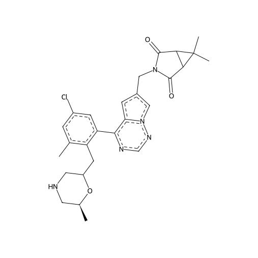 Cc1cc(Cl)cc(-c2ncnn3cc(CN4C(=O)C5C(C4=O)C5(C)C)cc23)c1CC1CNC[C@H](C)O1